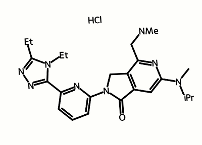 CCc1nnc(-c2cccc(N3Cc4c(cc(N(C)C(C)C)nc4CNC)C3=O)n2)n1CC.Cl